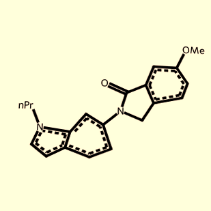 CCCn1ccc2ccc(N3Cc4ccc(OC)cc4C3=O)cc21